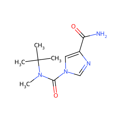 CN(C(=O)n1cnc(C(N)=O)c1)C(C)(C)C